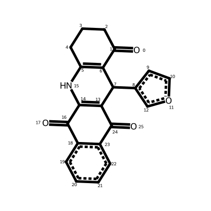 O=C1CCCC2=C1C(c1ccoc1)C1=C(N2)C(=O)c2ccccc2C1=O